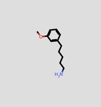 COc1cccc(CCCCCN)c1